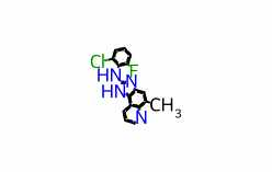 Cc1cc2nc(Nc3c(F)cccc3Cl)[nH]c2c2cccnc12